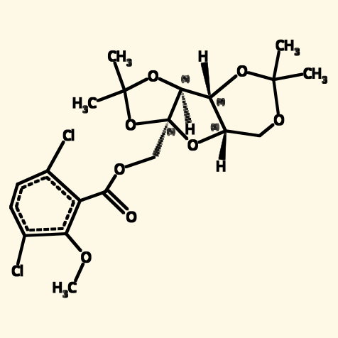 COc1c(Cl)ccc(Cl)c1C(=O)OC[C@@]12O[C@H]3COC(C)(C)O[C@H]3[C@@H]1OC(C)(C)O2